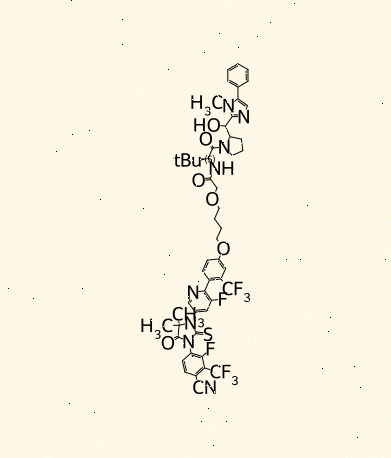 Cn1c(-c2ccccc2)cnc1C(O)C1CCCN1C(=O)[C@@H](NC(=O)COCCCCOc1ccc(-c2ncc(N3C(=S)N(c4ccc(C#N)c(C(F)(F)F)c4F)C(=O)C3(C)C)cc2F)c(C(F)(F)F)c1)C(C)(C)C